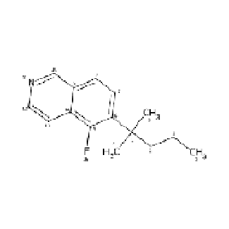 CCCC(C)(C)c1ccc2cnccc2c1F